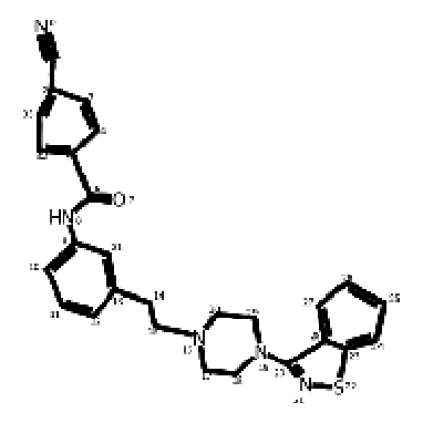 N#Cc1ccc(C(=O)Nc2cccc(CCN3CCN(c4nsc5ccccc45)CC3)c2)cc1